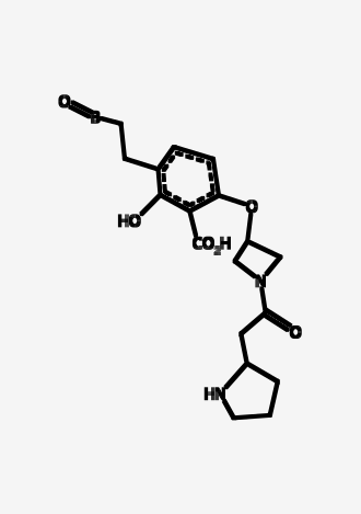 O=BCCc1ccc(OC2CN(C(=O)CC3CCCN3)C2)c(C(=O)O)c1O